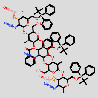 CC1[C@H](O[C@@H]2C(CO[Si](c3ccccc3)(c3ccccc3)C(C)(C)C)O[C@@H](C)C(N=[N+]=[N-])[C@H]2PBB=O)OC(CO)C(O[C@@H]2OC(CO[Si](c3ccccc3)(c3ccccc3)C(C)(C)C)[C@@H](O[C@@H]3OC(CO)[C@@H](O[C@@H]4OC(CO[Si](c5ccccc5)(c5ccccc5)C(C)(C)C)[C@@H](C)[C@H](PBB=O)C4N=[N+]=[N-])[C@H](C)C3OC(=O)c3ccccc3)[C@H](C)C2N=[N+]=[N-])[C@H]1OCc1ccccc1